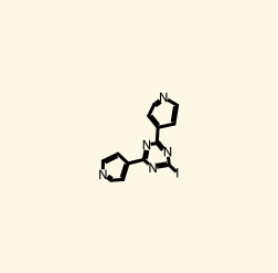 Ic1nc(-c2ccncc2)nc(-c2ccncc2)n1